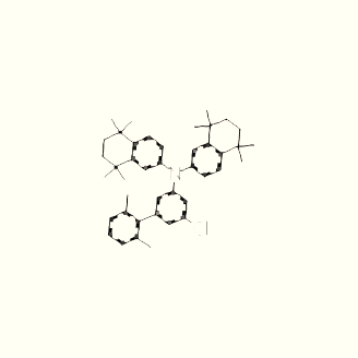 Cc1cccc(C)c1-c1cc(Cl)cc(N(c2ccc3c(c2)C(C)(C)CCC3(C)C)c2ccc3c(c2)C(C)(C)CCC3(C)C)c1